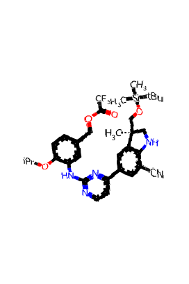 CC(C)Oc1ccc(COC(=O)C(F)(F)F)cc1Nc1nccc(-c2cc(C#N)c3c(c2)[C@@](C)(CO[Si](C)(C)C(C)(C)C)CN3)n1